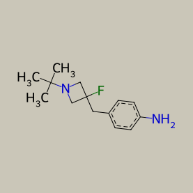 CC(C)(C)N1CC(F)(Cc2ccc(N)cc2)C1